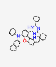 c1ccc(C2=NC(c3ccccc3)NC(c3ccc(N(c4ccccc4)c4ccc5ccccc5c4)c4oc5ccc6ccccc6c5c34)N2)cc1